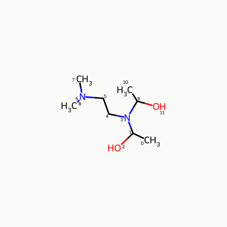 CC(O)N(CCN(C)C)C(C)O